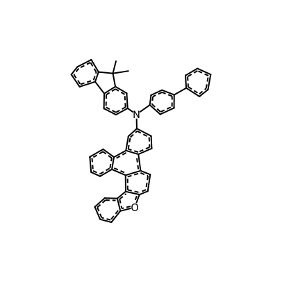 CC1(C)c2ccccc2-c2ccc(N(c3ccc(-c4ccccc4)cc3)c3ccc4c(c3)c3ccccc3c3c4ccc4oc5ccccc5c43)cc21